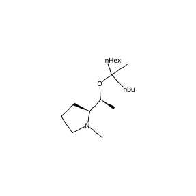 CCCCCCC(C)(CCCC)O[C@@H](C)[C@@H]1CCCN1C